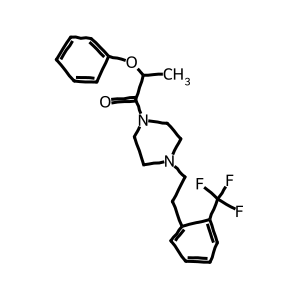 CC(Oc1ccccc1)C(=O)N1CCN(CCc2ccccc2C(F)(F)F)CC1